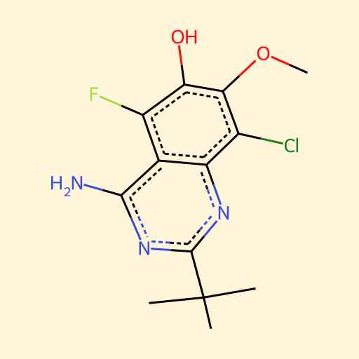 COc1c(O)c(F)c2c(N)nc(C(C)(C)C)nc2c1Cl